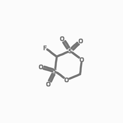 O=S1(=O)OCOS(=O)(=O)C1F